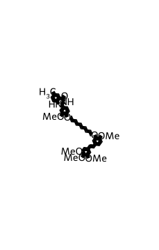 COc1cc(C2NC(=O)c3cc(C)ccc3N2)ccc1OCCCCCCCCCCOc1cc(C=Cc2cc(OC)c(OC)c(OC)c2)ccc1OC